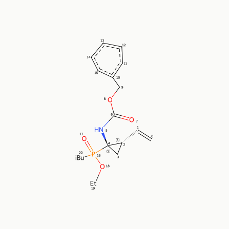 C=C[C@@H]1C[C@]1(NC(=O)OCc1ccccc1)P(=O)(OCC)C(C)CC